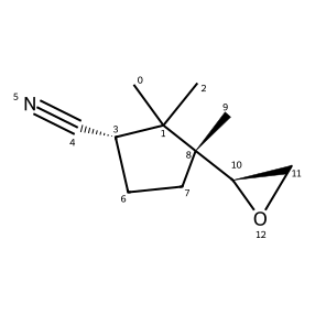 CC1(C)[C@@H](C#N)CC[C@@]1(C)[C@H]1CO1